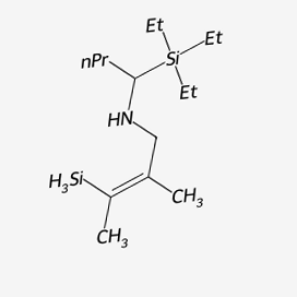 CCCC(NCC(C)=C(C)[SiH3])[Si](CC)(CC)CC